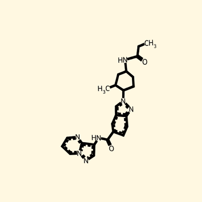 CCC(=O)NC1CCC(n2cc3cc(C(=O)Nc4cnn5cccnc45)ccc3n2)C(C)C1